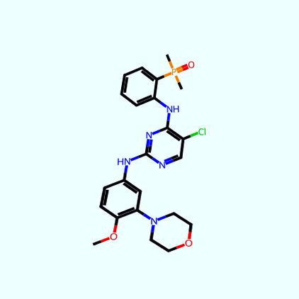 COc1ccc(Nc2ncc(Cl)c(Nc3ccccc3P(C)(C)=O)n2)cc1N1CCOCC1